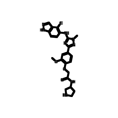 COc1cc(-c2nc(Nc3ccc4[nH]ncc4c3Cl)n(C)n2)ccc1OCC(=O)NC1CCNC1